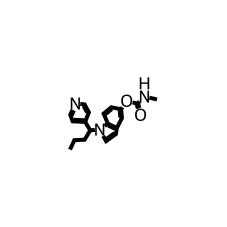 CCCC(c1ccncc1)n1ccc2cc(OC(=O)NC)ccc21